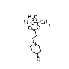 CC(C)(C)OC(=O)CCN1CCC(=O)CC1